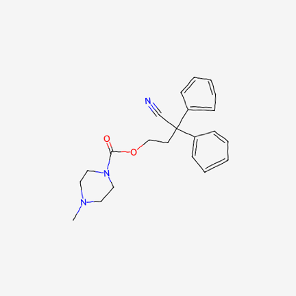 CN1CCN(C(=O)OCCC(C#N)(c2ccccc2)c2ccccc2)CC1